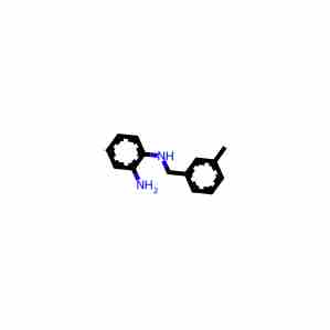 Cc1cccc(CNc2cc[c]cc2N)c1